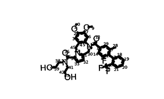 COc1cc2c(cc1OC)N(C(=O)c1ccc(-c3ccccc3C(F)(F)F)c(C)c1)Cc1ccc(C(=O)N(CCO)CCO)n1C2